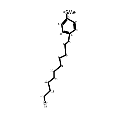 CSc1ccc(CCCCCCCCCCBr)cc1